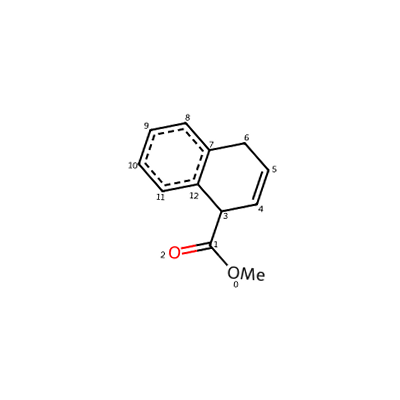 COC(=O)C1C=CCc2ccccc21